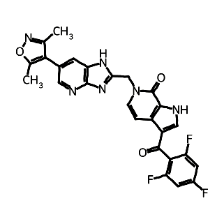 Cc1noc(C)c1-c1cnc2nc(Cn3ccc4c(C(=O)c5c(F)cc(F)cc5F)c[nH]c4c3=O)[nH]c2c1